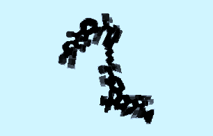 CNc1c(C(=O)NC2CC2)cnc2cc(C(F)(F)F)c(-c3ccc(C(=O)NCCCCn4cc(C(C)Nc5cccc6c5C(=O)N(C5CCC(=O)NC5=O)C6=O)nn4)c(F)c3)cc12